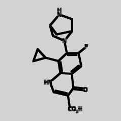 O=C(O)c1c[nH]c2c(C3CC3)c(N3CC4CC3CN4)c(F)cc2c1=O